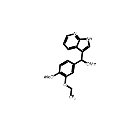 COc1ccc(C(OC)c2c[nH]c3ncccc23)cc1OCC(F)(F)F